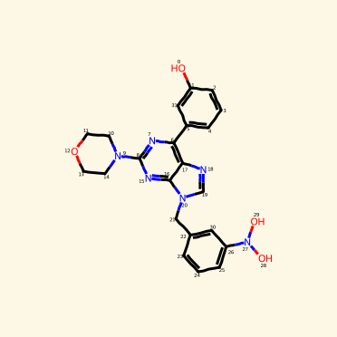 Oc1cccc(-c2nc(N3CCOCC3)nc3c2ncn3Cc2cccc(N(O)O)c2)c1